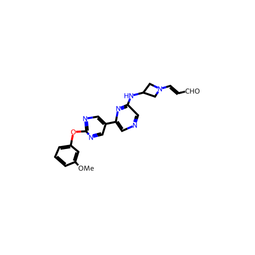 COc1cccc(Oc2ncc(-c3cncc(NC4CN(C=CC=O)C4)n3)cn2)c1